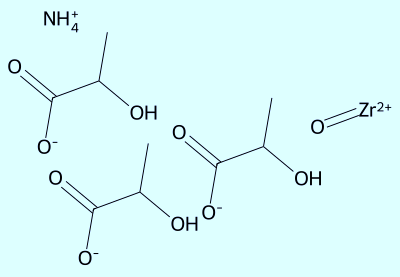 CC(O)C(=O)[O-].CC(O)C(=O)[O-].CC(O)C(=O)[O-].[NH4+].[O]=[Zr+2]